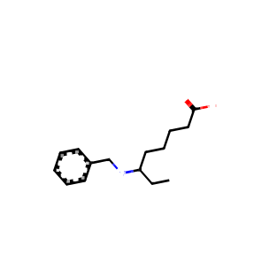 CCC(CCCCC(=O)O)NCc1ccccc1